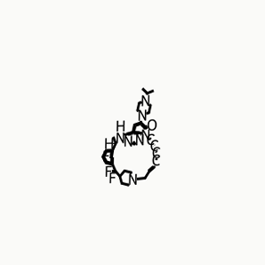 CC(C)N1CCN(c2cc3c4ncnc3n(c2=O)CCCC/C=C/CN2CCC(CC2)C(F)(F)c2cccc(c2F)[C@@H](C)N4)CC1